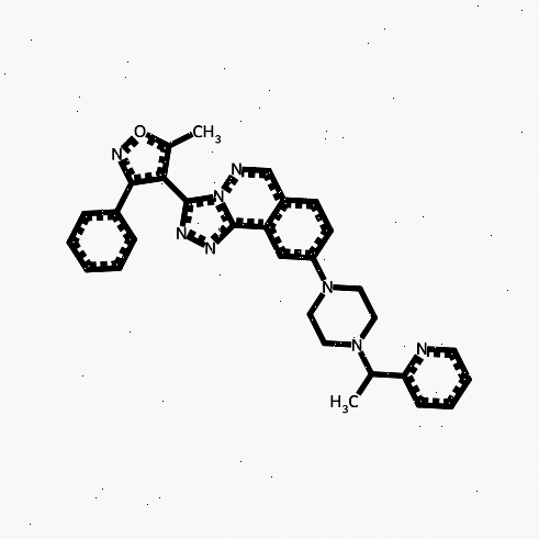 Cc1onc(-c2ccccc2)c1-c1nnc2c3cc(N4CCN(C(C)c5ccccn5)CC4)ccc3cnn12